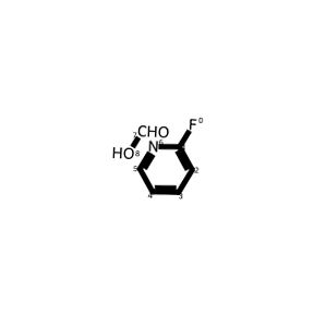 Fc1ccccn1.O=CO